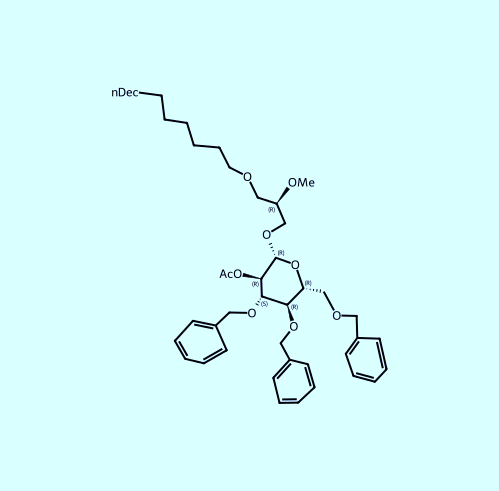 CCCCCCCCCCCCCCCCOC[C@H](CO[C@@H]1O[C@H](COCc2ccccc2)[C@@H](OCc2ccccc2)[C@H](OCc2ccccc2)[C@H]1OC(C)=O)OC